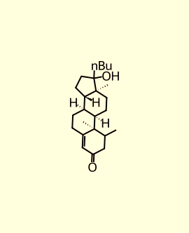 CCCCC1(O)CC[C@H]2[C@@H]3CCC4=CC(=O)CC(C)[C@]4(C)[C@@H]3CC[C@@]21C